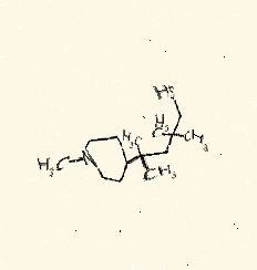 CN1CCC(C(C)(C)CC(C)(C)CS)CC1